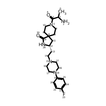 CC(N)C(=O)N1CCC2(CC1)C[C@H](CCN1CCN(c3ccc(F)cc3)CC1)NC2=O